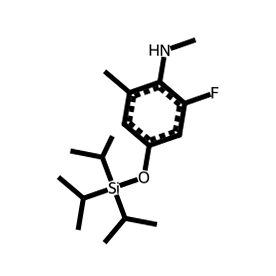 CNc1c(C)cc(O[Si](C(C)C)(C(C)C)C(C)C)cc1F